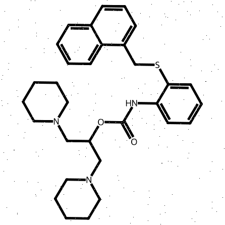 O=C(Nc1ccccc1SCc1cccc2ccccc12)OC(CN1CCCCC1)CN1CCCCC1